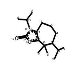 CC(C)C1CCCc2c(oc(=O)n2C(C)C)C1(C)C